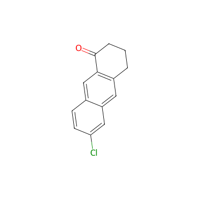 O=C1CCCc2cc3cc(Cl)ccc3cc21